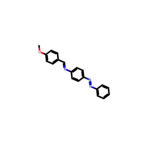 COc1ccc(C=Nc2ccc(N=Nc3ccccc3)cc2)cc1